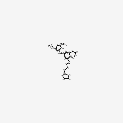 CNc1cc(C)nc(Nc2cc3c(c(OCCCN4CCCC4)c2)OCCC3)n1